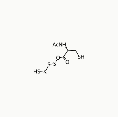 CC(=O)N[C@@H](CS)C(=O)OSSSS